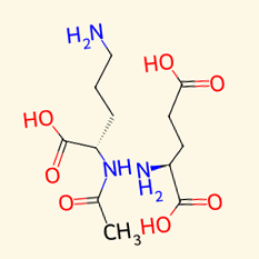 CC(=O)N[C@@H](CCCN)C(=O)O.N[C@@H](CCC(=O)O)C(=O)O